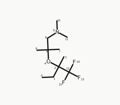 CCC(C)(OC(C)(C)CN(C)C)C(F)(F)F